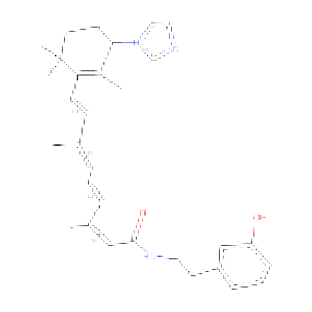 CC1=C(/C=C/C(C)=C/C=C/C(C)=C\C(=O)NCCc2cccc(O)c2)C(C)(C)CCC1n1ccnc1